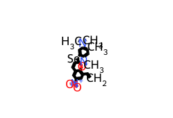 C=Cc1cc([N+](=O)[O-])cc2c1OC1(C=C2)[Se]c2cc(N(C)C)c(C)cc2N1C